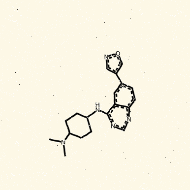 CN(C)C1CCC(Nc2ncnc3ccc(-c4cnoc4)cc23)CC1